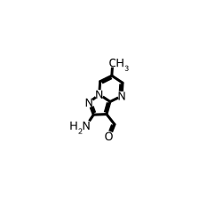 Cc1cnc2c(C=O)c(N)nn2c1